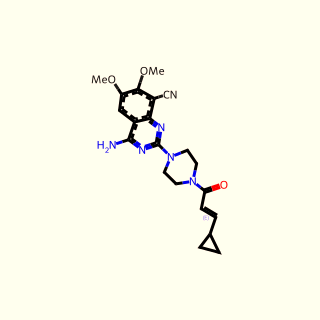 COc1cc2c(N)nc(N3CCN(C(=O)/C=C/C4CC4)CC3)nc2c(C#N)c1OC